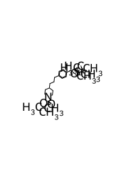 CC(C)(C)OC(=O)N1CCC(CCCc2ccc(CO[Si](C)(C)C(C)(C)C)cc2)CC1